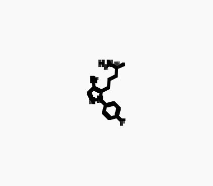 C[C@H](N)CCCc1c(Br)cnn1-c1ccc(F)cc1